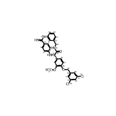 COc1cc([C@@H](Nc2ccc(C(=N)N)cc2)C(=O)NCc2ccccc2)ccc1OCc1cc(Cl)cc(Cl)c1